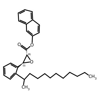 CCCCCCCCCCC(C)c1ccccc1[C@@H]1O[C@H]1C(=O)Oc1ccc2ccccc2c1